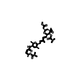 COC(=O)C[C@@H]1C[C@@]2(CO2)[C@H](OC(=O)N(C)C)[C@@H](/C=C/C(C)=C/C[C@@H]2O[C@H](C)[C@H](NC(=O)/C=C\[C@H](C)OC(=O)N(C)C)C[C@@H]2C)O1